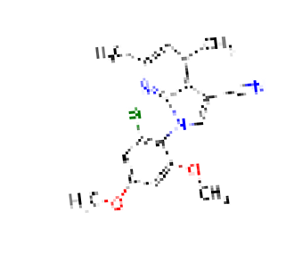 COc1cc(Br)c(-n2cc(C#N)c3c(C)cc(C)nc32)c(OC)c1